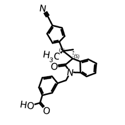 C[C@@]1(c2ccc(C#N)cc2)C[C@]12C(=O)N(Cc1cccc(C(=O)O)c1)c1ccccc12